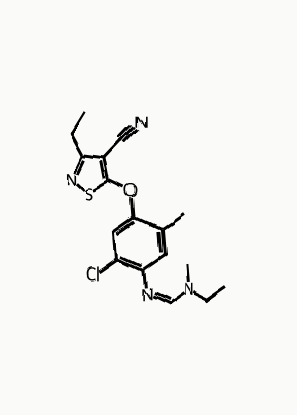 CCc1nsc(Oc2cc(Cl)c(/N=C\N(C)CC)cc2C)c1C#N